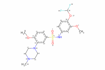 COc1cc(NS(=O)(=O)c2ccc(OC)c(N3CCN(C)CC3)c2)ccc1OC(F)F